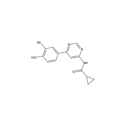 N#Cc1cc(-c2cc(NC(=O)C3CC3)ncn2)ccc1O